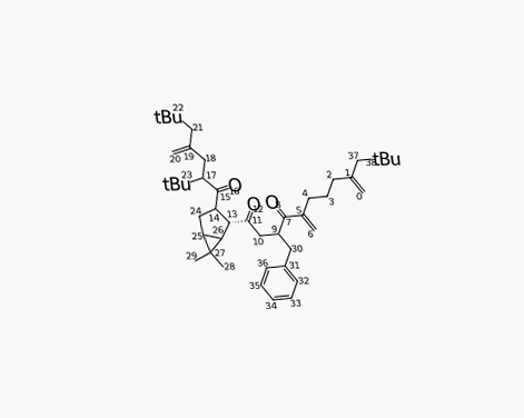 C=C(CCCC(=C)C(=O)C(CC(=O)[C@H]1C(C(=O)C(CC(=C)CC(C)(C)C)C(C)(C)C)CC2C1C2(C)C)Cc1ccccc1)CC(C)(C)C